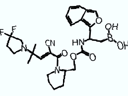 CC(C)(C=C(C#N)C(=O)N1CCCC[C@@H]1COC(=O)NC(CB(O)O)c1occ2ccccc12)N1CCC(F)(F)C1